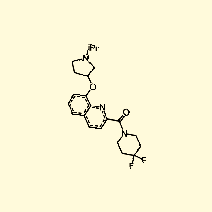 CC(C)N1CCC(Oc2cccc3ccc(C(=O)N4CCC(F)(F)CC4)nc23)C1